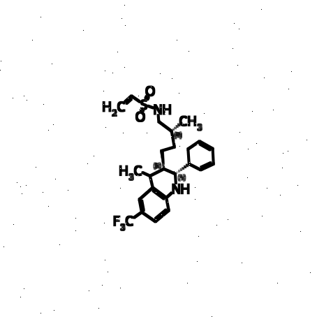 C=CS(=O)(=O)NC[C@H](C)CC[C@@H]1C(C)c2cc(C(F)(F)F)ccc2N[C@H]1C1C=CC=CC1